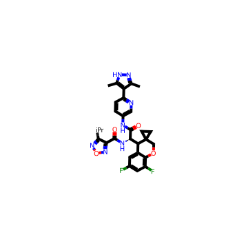 Cc1n[nH]c(C)c1-c1ccc(NC(=O)[C@@H](NC(=O)c2nonc2C(C)C)C2c3cc(F)cc(F)c3OCC23CC3)cn1